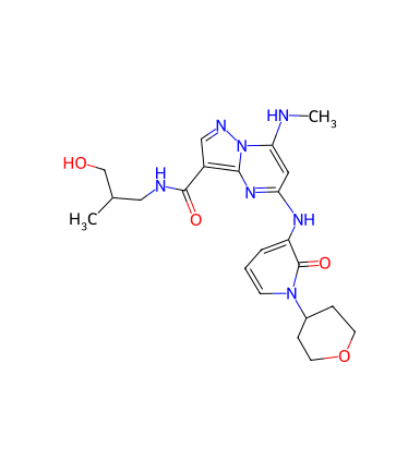 CNc1cc(Nc2cccn(C3CCOCC3)c2=O)nc2c(C(=O)NCC(C)CO)cnn12